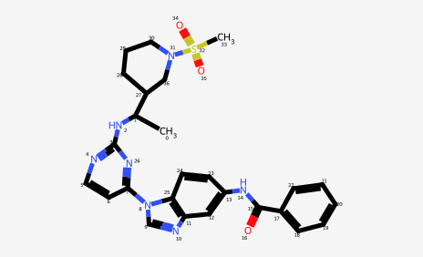 CC(Nc1nccc(-n2cnc3cc(NC(=O)c4ccccc4)ccc32)n1)C1CCCN(S(C)(=O)=O)C1